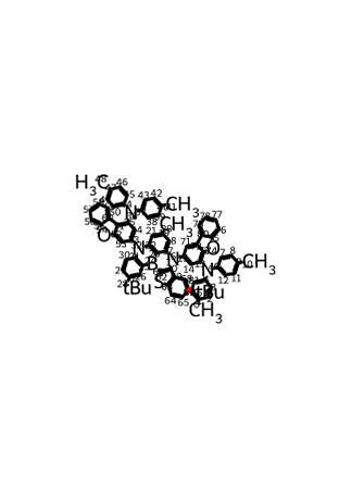 Cc1ccc(N(c2ccc(C)cc2)c2cc(N3c4cc(C)cc5c4B(c4cc(C(C)(C)C)ccc4N5c4cc(N(c5ccc(C)cc5)c5ccc(C)cc5)c5c(c4)oc4ccccc45)c4sc5ccc(C(C)(C)C)cc5c43)cc3c2oc2ccccc23)cc1